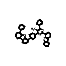 Cc1c(-c2ccccc2)nc(C2=CCCc3c2oc2ccccc32)nc1-c1ccc(-c2cccc3c2oc2c(-c4ccccc4)cccc23)cc1